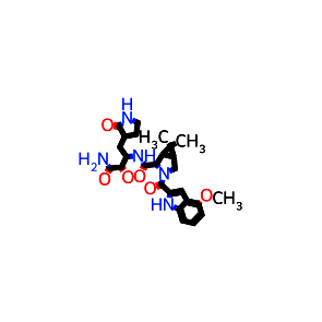 COc1cccc2[nH]c(C(=O)N3CC4C(C3C(=O)NC(CC3CCNC3=O)C(=O)C(N)=O)C4(C)C)cc12